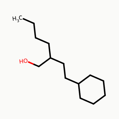 CCCCC(CO)CCC1CCCCC1